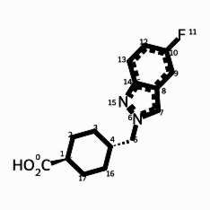 O=C(O)[C@H]1CC[C@H](Cn2cc3cc(F)ccc3n2)CC1